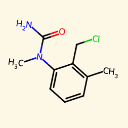 Cc1cccc(N(C)C(N)=O)c1CCl